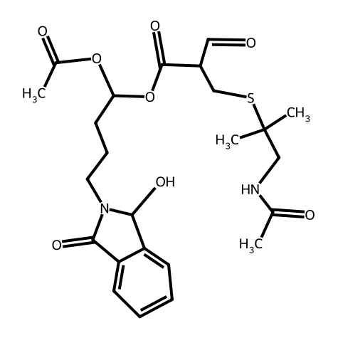 CC(=O)NCC(C)(C)SCC(C=O)C(=O)OC(CCCN1C(=O)c2ccccc2C1O)OC(C)=O